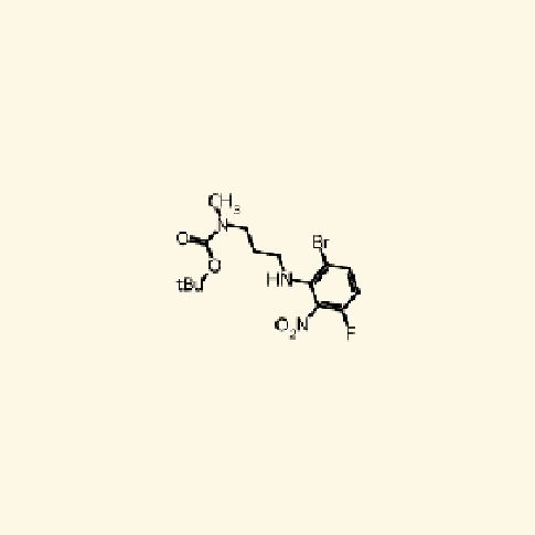 CN(CCCNc1c(Br)ccc(F)c1[N+](=O)[O-])C(=O)OC(C)(C)C